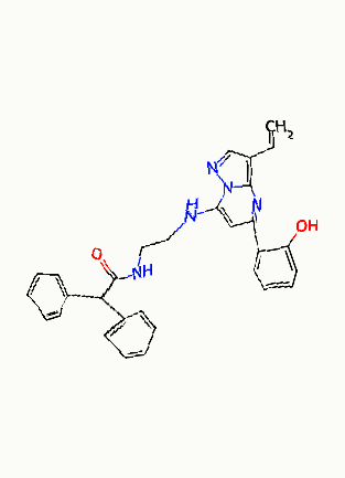 C=Cc1cnn2c(NCCNC(=O)C(c3ccccc3)c3ccccc3)cc(-c3ccccc3O)nc12